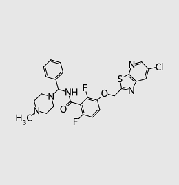 CN1CCN(C(NC(=O)c2c(F)ccc(OCc3nc4cc(Cl)cnc4s3)c2F)c2ccccc2)CC1